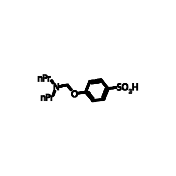 CCCN(CCC)COc1ccc(S(=O)(=O)O)cc1